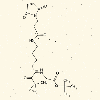 CC(C)(C)OC(=O)CN[C@@H](CCCCNC(=O)CCN1C(=O)C=CC1=O)C(=O)C1(C)SS1